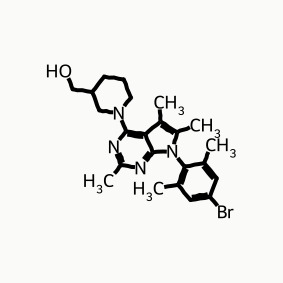 Cc1nc(N2CCCC(CO)C2)c2c(C)c(C)n(-c3c(C)cc(Br)cc3C)c2n1